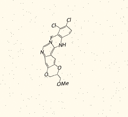 COCC1COc2cc3ncnc(Nc4ccc(Cl)c(Cl)c4F)c3cc2O1